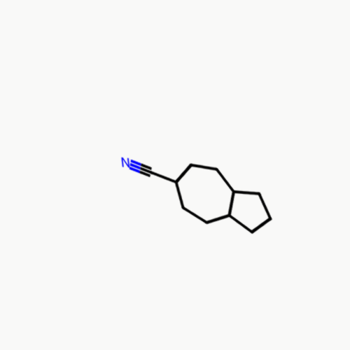 N#CC1CCC2CCCC2CC1